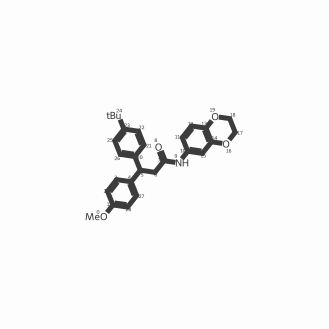 COc1ccc(C(CC(=O)Nc2ccc3c(c2)OCCO3)c2ccc(C(C)(C)C)cc2)cc1